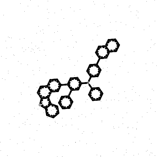 c1ccc(-c2cc(N(c3ccccc3)c3ccc(-c4ccc5ccccc5c4)cc3)ccc2-c2ccc3ccc4oc5ccccc5c4c3c2)cc1